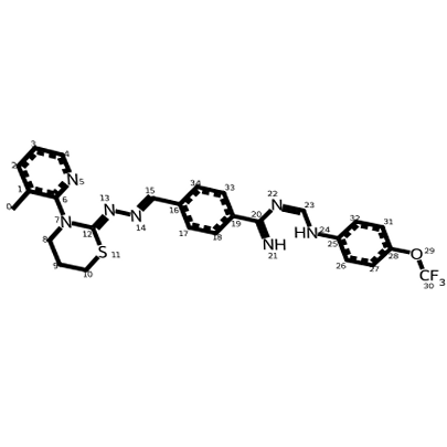 Cc1cccnc1N1CCCS/C1=N\N=C\c1ccc(C(=N)/N=C\Nc2ccc(OC(F)(F)F)cc2)cc1